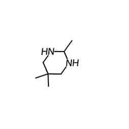 CC1NCC(C)(C)CN1